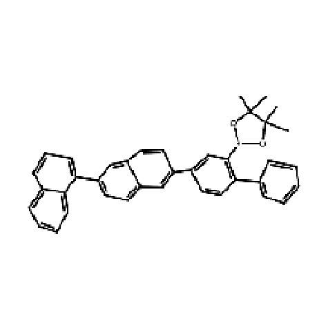 CC1(C)OB(c2cc(-c3ccc4cc(-c5cccc6ccccc56)ccc4c3)ccc2-c2ccccc2)OC1(C)C